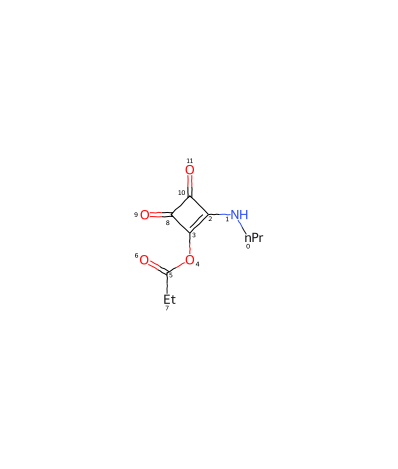 CCCNc1c(OC(=O)CC)c(=O)c1=O